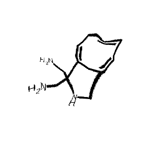 NC1(N)NCc2ccccc21